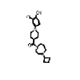 N#Cc1ccc(N2CCC(C(=O)N3CCCN(C4CCC4)CC3)CC2)cc1Cl